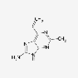 C=Cc1nc(C)nc2[nH]c(N)nc12